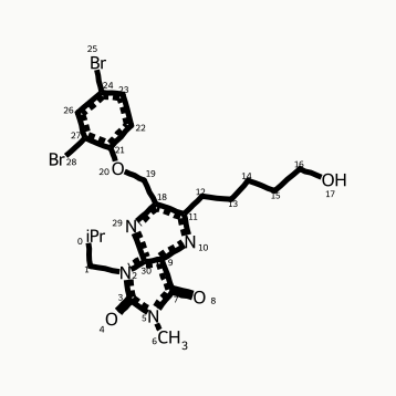 CC(C)Cn1c(=O)n(C)c(=O)c2nc(CCCCCO)c(COc3ccc(Br)cc3Br)nc21